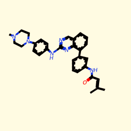 CC(C)=CC(=O)Nc1cccc(-c2cccc3cnc(Nc4ccc(N5CCN(C)CC5)cc4)nc23)c1